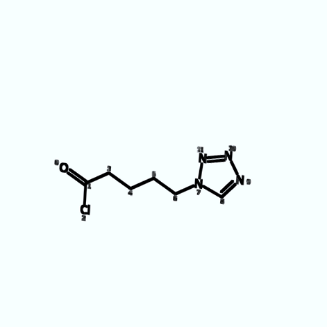 O=C(Cl)CCCCn1cnnn1